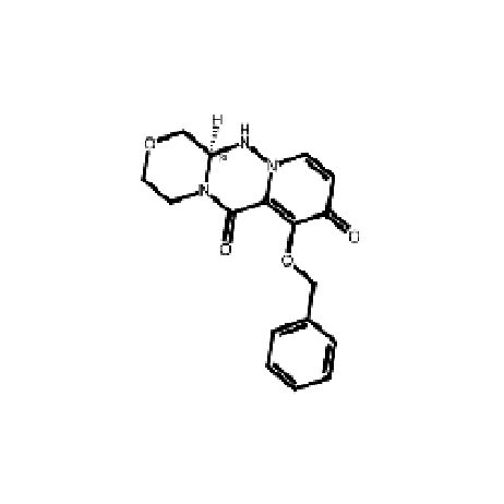 O=C1c2c(OCc3ccccc3)c(=O)ccn2N[C@@H]2COCCN12